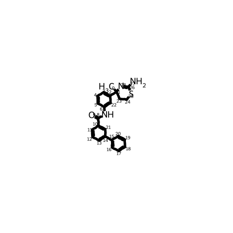 CC1(c2cccc(NC(=O)c3cccc(-c4ccccc4)c3)c2)CCSC(N)=N1